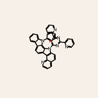 c1ccc(-n2c3ccccc3c3ccc4c5c6ncccc6ccc5n(-c5nc(-c6ccccn6)nc(-c6ccccn6)n5)c4c32)cc1